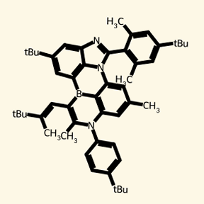 CC1=C(/C=C(\C)C(C)(C)C)B2c3c(cc(C)cc3-n3c(-c4c(C)cc(C(C)(C)C)cc4C)nc4cc(C(C)(C)C)cc2c43)N1c1ccc(C(C)(C)C)cc1